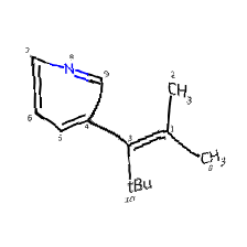 CC(C)=C(c1cccnc1)C(C)(C)C